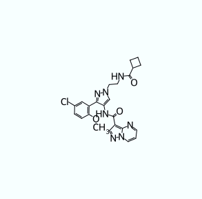 COc1ccc(Cl)cc1-c1nn(CCNC(=O)C2CCC2)cc1NC(=O)c1cnn2cccnc12